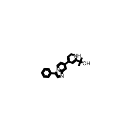 CC(C)(O)C1=CC(c2ccn3c(-c4ccccc4)cnc3c2)=CCN1